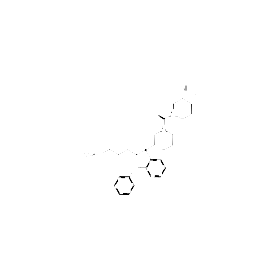 COCCCC[C@@](O)(c1ccccc1Oc1ccccc1)[C@@H]1CCCN(C(=O)N2CCC[C@@H](N)C2)C1